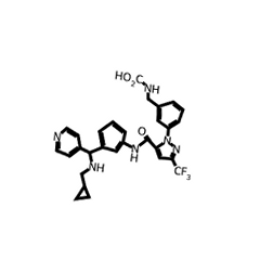 O=C(O)NCc1cccc(-n2nc(C(F)(F)F)cc2C(=O)Nc2cccc(C(NCC3CC3)c3ccncc3)c2)c1